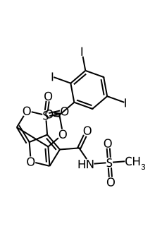 CS(=O)(=O)NC(=O)c1c2c3oc1c(OC(=O)c1cc(I)cc(I)c1I)c3OS2(=O)=O